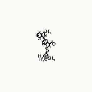 Cn1nc(-c2cnc3c(n2)c(C=O)cn3COCC[Si](C)(C)C)c2c1CCCC2